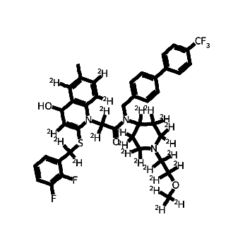 [2H]C1=C(SC([2H])([2H])c2cccc(F)c2F)N(C([2H])([2H])C(=O)N(Cc2ccc(-c3ccc(C(F)(F)F)cc3)cc2)C2([2H])C([2H])([2H])C([2H])([2H])N(C([2H])([2H])C([2H])([2H])OC([2H])([2H])[2H])C([2H])([2H])C2([2H])[2H])c2c([2H])c([2H])c(C)c([2H])c2C1O